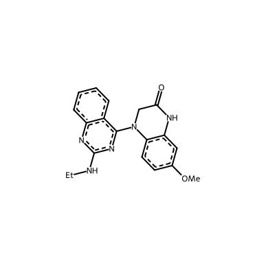 CCNc1nc(N2CC(=O)Nc3cc(OC)ccc32)c2ccccc2n1